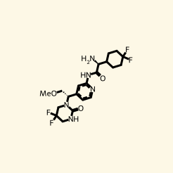 COC[C@H](c1ccnc(NC(=O)[C@@H](N)C2CCC(F)(F)CC2)c1)N1CC(F)(F)CNC1=O